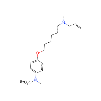 C=CCN(C)CCCCCCOc1ccc(N(C)C(=O)OCC)cc1